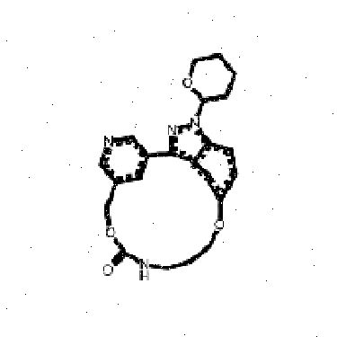 O=C1NCCCOc2ccc3c(c2)c(nn3C2CCCCO2)-c2cncc(c2)CO1